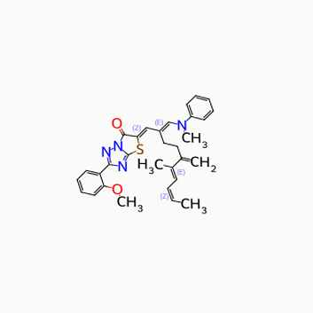 C=C(CCC(/C=c1\sc2nc(-c3ccccc3OC)nn2c1=O)=C\N(C)c1ccccc1)/C(C)=C/C=C\C